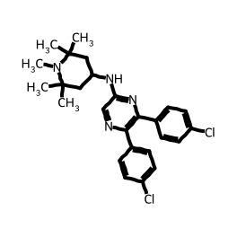 CN1C(C)(C)CC(Nc2cnc(-c3ccc(Cl)cc3)c(-c3ccc(Cl)cc3)n2)CC1(C)C